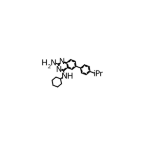 CC(C)c1ccc(-c2ccc3nc(N)nc(NC4CCCCC4)c3c2)cc1